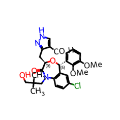 COc1cccc([C@H]2O[C@H](Cc3n[nH]cc3C(=O)O)C(=O)N(CC(C)(C)CO)c3ccc(Cl)cc32)c1OC